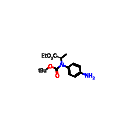 CCOC(=O)[C@H](C)N(C(=O)OC(C)(C)C)c1ccc(N)cc1